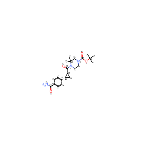 CC(C)(C)OC(=O)N1CCN(C(=O)[C@H]2C[C@@H]2c2ccc(C(N)=O)cc2)C(C)(C)C1